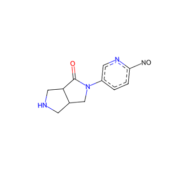 O=Nc1ccc(N2CC3CNCC3C2=O)cn1